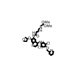 COC(CNC/C=C/C(=O)Nc1cc2c(Nc3ccc(OCc4ccccn4)c(Cl)c3)c(C#N)cnc2cc1O[C@H]1CCOC1)OC